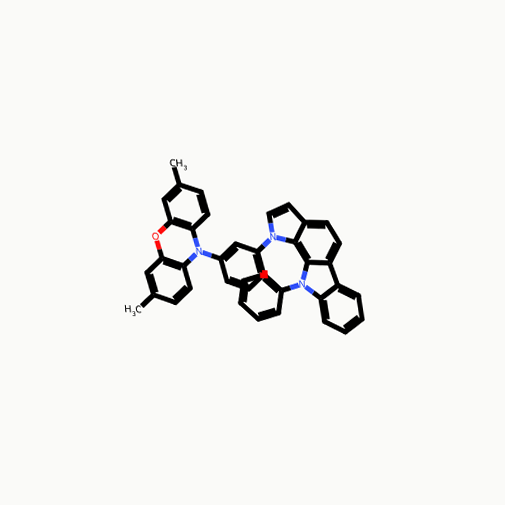 Cc1ccc2c(c1)Oc1cc(C)ccc1N2c1cccc(-n2ccc3ccc4c5ccccc5n(-c5ccccc5)c4c32)c1